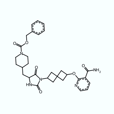 NC(=O)c1cccnc1OC1CC2(C1)CC(N1C(=O)NC(CC3CCN(C(=O)OCc4ccccc4)CC3)C1=O)C2